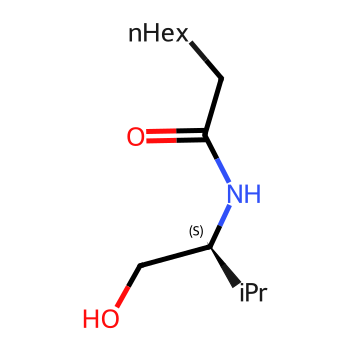 CCCCCCCC(=O)N[C@H](CO)C(C)C